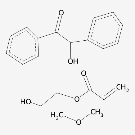 C=CC(=O)OCCO.COC.O=C(c1ccccc1)C(O)c1ccccc1